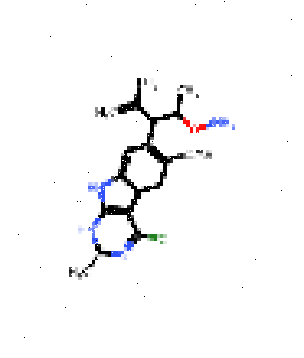 C=C(C)C(C1=C(OC)CC2C(=C1)NC1=C2C(Cl)=N[C@@H](C)N1)C(C)ON